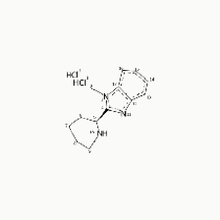 Cl.Cl.Cn1c([C@@H]2CCCCN2)nc2ccccc21